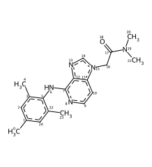 Cc1cc(C)c(Nc2nccc3c2ncn3CC(=O)N(C)C)c(C)c1